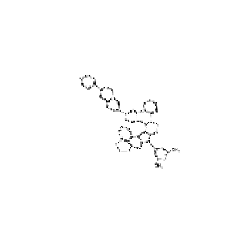 Cc1cc(C)cc(-n2c3cc4c5c(cccc5c3c3c5c(ccc32)c2ccccc2c2cc(-c3ccc6cc(-c7ccccc7)ccc6c3)ccc25)CC=C4)c1